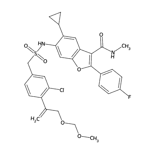 C=C(COCOC)c1ccc(CS(=O)(=O)Nc2cc3oc(-c4ccc(F)cc4)c(C(=O)NC)c3cc2C2CC2)cc1Cl